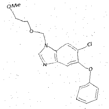 COCCOCn1cnc2cc(Oc3ccccc3)c(Cl)cc21